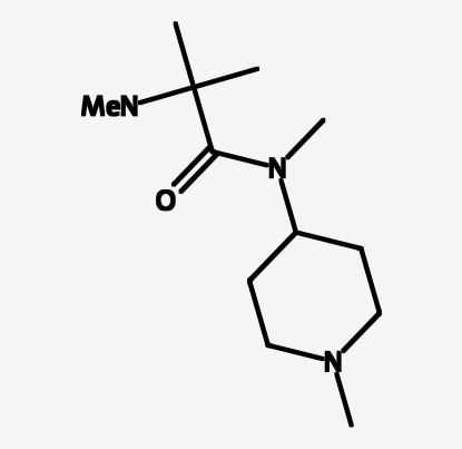 CNC(C)(C)C(=O)N(C)C1CCN(C)CC1